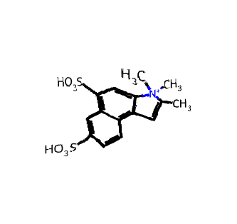 CC1=Cc2c(cc(S(=O)(=O)O)c3cc(S(=O)(=O)O)ccc23)[N+]1(C)C